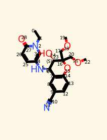 CCn1cc(N[C@@H]2c3cc(C#N)ccc3OC(COC)(COC)[C@H]2O)ccc1=O